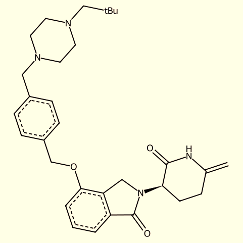 C=C1CC[C@@H](N2Cc3c(OCc4ccc(CN5CCN(CC(C)(C)C)CC5)cc4)cccc3C2=O)C(=O)N1